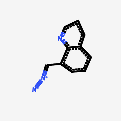 [N-]=[N+]=Cc1cccc2cccnc12